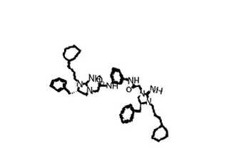 N=C1N(CC(=O)Nc2cccc(NC(=O)CN3C[C@H](Cc4ccccc4)N(CCCC4CCCCC4)C3N)c2)C[C@H](Cc2ccccc2)N1CCCC1CCCCC1